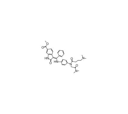 COC(=O)c1ccc2c(c1)NC(=O)/C2=C(\Nc1ccc(N(CC(=O)N(C)C)C(=O)CCCN(C)C)cc1)c1ccccc1